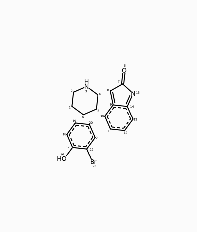 C1CCNCC1.O=C1C=c2ccccc2=N1.Oc1ccccc1Br